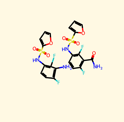 NC(=O)c1c(F)ccc(NS(=O)(=O)c2ccco2)c1F.Nc1c(F)ccc(NS(=O)(=O)c2ccco2)c1F